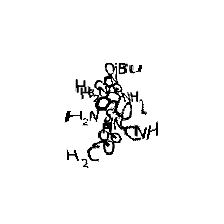 C=CC(=O)OC(=O)C=C[SH]1C(C(=O)NC2CCCNC2)=C2c3c(ccc(N)c31)C(N)(c1cnc(OCC(C)C)cc1C)C(=O)C2N